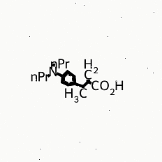 C=C(C(=O)O)C(C)c1ccc(N(CCC)CCC)cc1